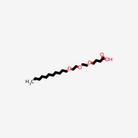 CCCCCCCCCCCOCCOCCOCCCC(=O)O